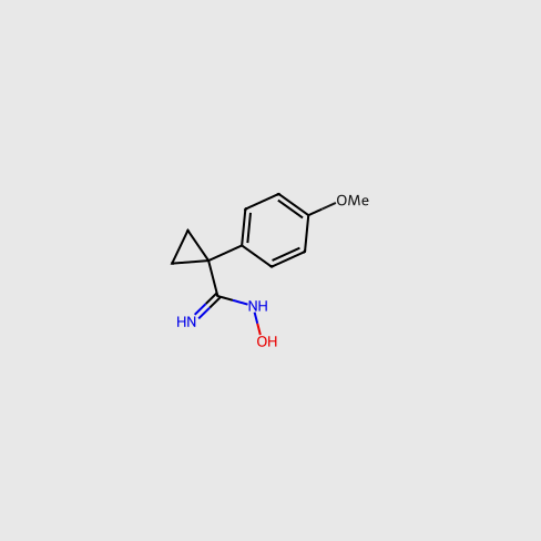 COc1ccc(C2(C(=N)NO)CC2)cc1